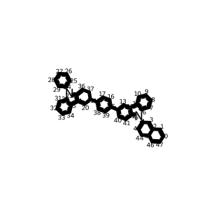 C1=CC2=CC(n3c4ccccc4c4cc(-c5ccc(C6C=c7c(n(-c8ccccc8)c8ccccc78)=CC6)cc5)ccc43)=CCC2C=C1